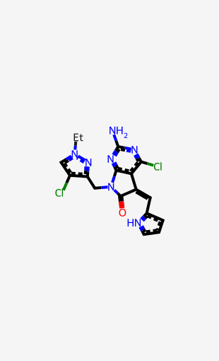 CCn1cc(Cl)c(CN2C(=O)C(=Cc3ccc[nH]3)c3c(Cl)nc(N)nc32)n1